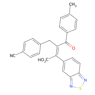 Cc1ccc(C(=O)/C(Cc2ccc(C#N)cc2)=C(/C(=O)O)c2ccc3nsnc3c2)cc1